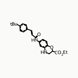 CCOC(=O)C1CNc2cc(NC(=O)/C=C/c3ccc(C(C)(C)C)cc3)ccc2O1